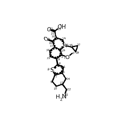 COc1c(-c2cc3c(s2)CCC(CN)C3)ccc2c(=O)c(C(=O)O)cn(C3CC3)c12